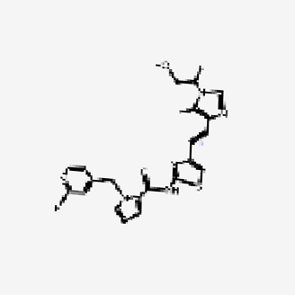 Cc1c(/C=C/c2csc(NC(=O)c3cccn3Cc3ccnc(F)c3)n2)ncn1C(C)CO